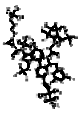 CC(C)(C#Cc1ccc(-c2ccc(Cl)c3c(N(C(=O)[C@@H]4C[C@@H]4COCOP(=O)(O)O)S(C)(=O)=O)nn(CC(F)(F)F)c23)c(C(Cc2cc(F)cc(F)c2)NC(=O)Cn2nc(C(F)(F)F)c3c2C(F)(F)[C@@H]2C[C@H]32)n1)S(C)(=O)=O